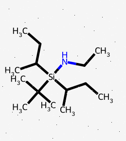 CCN[Si](C(C)CC)(C(C)CC)C(C)(C)C